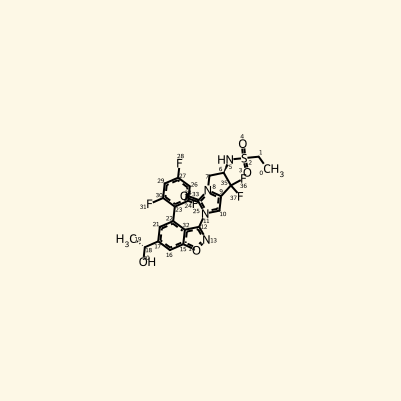 CCS(=O)(=O)N[C@@H]1Cn2c(cn(-c3noc4cc([C@@H](C)O)cc(-c5c(F)cc(F)cc5F)c34)c2=O)C1(F)F